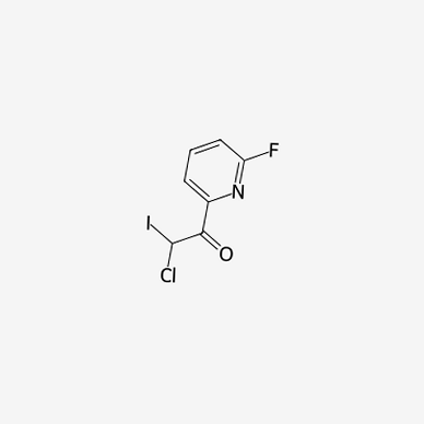 O=C(c1cccc(F)n1)C(Cl)I